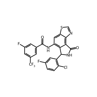 O=C(Nc1cc2scnc2c2c1C(c1cc(F)ccc1Cl)NC2=O)c1cc(F)cc(C(F)(F)F)c1